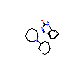 C1CCCC(N2CCCCCCC2)CCC1.O=c1ncc2ccccc2[nH]1